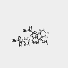 CN(c1nnc(-c2ccc(NC(=O)C(C)(C)C)cc2)nn1)c1ccccc1COC(=O)NC(C)(C)C